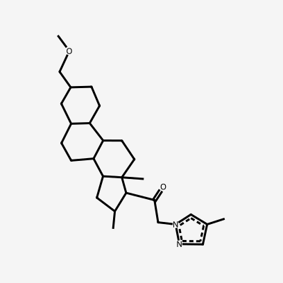 COCC1CCC2C(CCC3C2CCC2(C)C3CC(C)C2C(=O)Cn2cc(C)cn2)C1